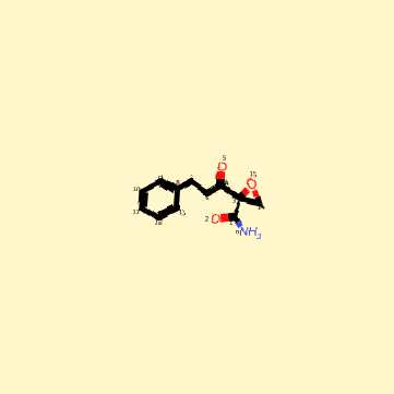 NC(=O)[C@]1(C(=O)[CH]Cc2ccccc2)CO1